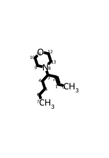 CC=CC(CCCC)N1CCOCC1